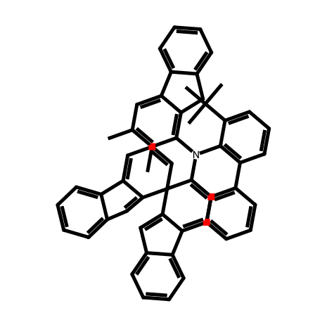 Cc1cc2c(c(N(C3=CC=C4C(=Cc5ccccc54)C34C=CC=C3C4=Cc4ccccc43)c3c(-c4ccccc4)cccc3C(C)(C)C)c1C)Cc1ccccc1-2